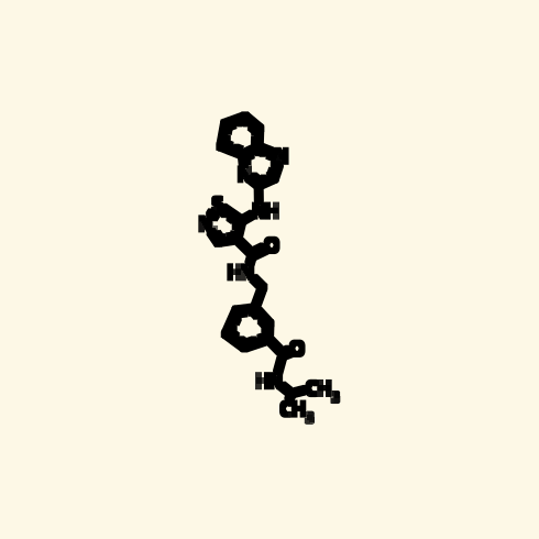 CC(C)NC(=O)c1cccc(CNC(=O)c2cnsc2Nc2cnc3ccccc3n2)c1